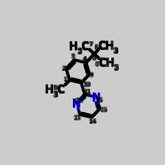 Cc1ccc(C(C)(C)C)cc1-c1ncccn1